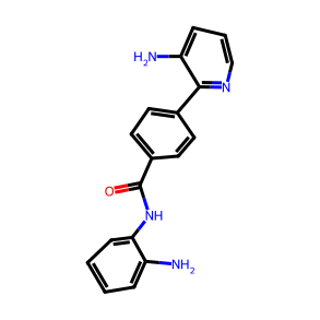 Nc1ccccc1NC(=O)c1ccc(-c2ncccc2N)cc1